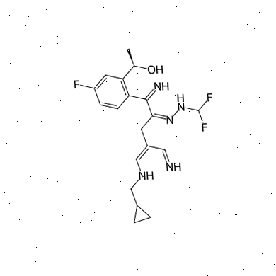 C[C@@H](O)c1cc(F)ccc1C(=N)/C(C/C(C=N)=C/NCC1CC1)=N\NC(F)F